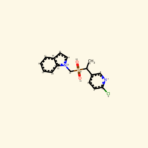 CC(c1ccc(Cl)nc1)S(=O)(=O)Cn1ccc2ccccc21